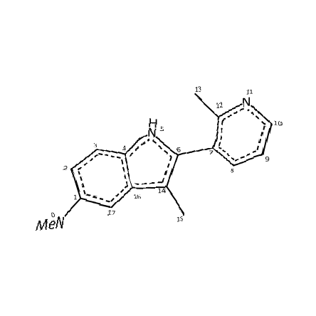 CNc1ccc2[nH]c(-c3cccnc3C)c(C)c2c1